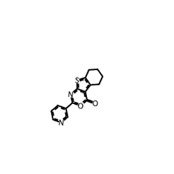 O=c1oc(-c2cccnc2)nc2sc3c(c12)CCCC3